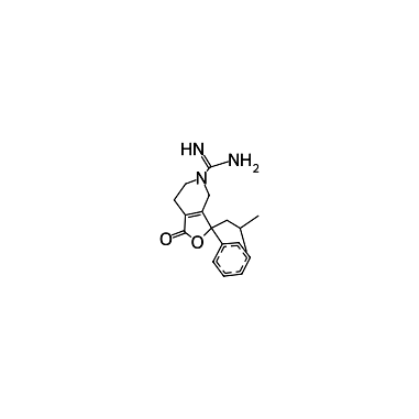 CC(C)CC1(c2ccccc2)OC(=O)C2=C1CN(C(=N)N)CC2